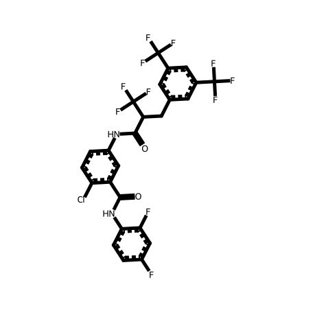 O=C(Nc1ccc(F)cc1F)c1cc(NC(=O)C(Cc2cc(C(F)(F)F)cc(C(F)(F)F)c2)C(F)(F)F)ccc1Cl